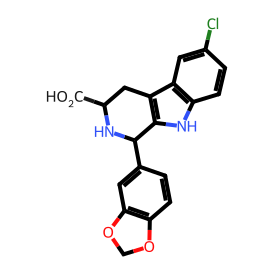 O=C(O)C1Cc2c([nH]c3ccc(Cl)cc23)C(c2ccc3c(c2)OCO3)N1